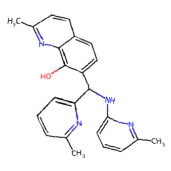 Cc1cccc(NC(c2cccc(C)n2)c2ccc3ccc(C)nc3c2O)n1